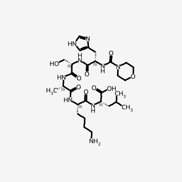 CC(C)C[C@H](NC(=O)[C@H](CCCCN)NC(=O)[C@H](C)NC(=O)[C@H](CO)NC(=O)[C@H](Cc1c[nH]cn1)NC(=O)N1CCOCC1)C(=O)O